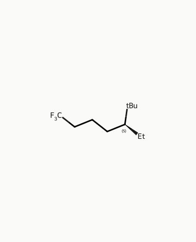 CC[C@@H](CCCC(F)(F)F)C(C)(C)C